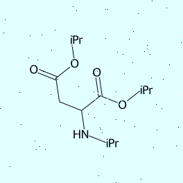 CC(C)NC(CC(=O)OC(C)C)C(=O)OC(C)C